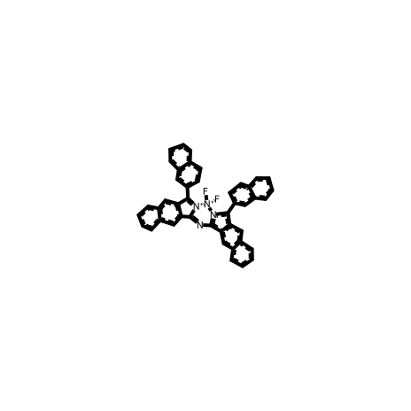 F[N+]1(F)n2c(c3cc4ccccc4cc3c2-c2ccc3ccccc3c2)N=C2c3cc4ccccc4cc3C(c3ccc4ccccc4c3)=[N+]21